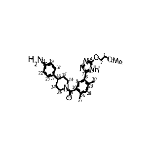 COCCOc1nnc(-c2cc(C(=O)N3CCC(c4ccc(N)cc4)CC3)c(C)cc2C)[nH]1